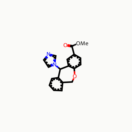 COC(=O)c1ccc2c(c1)C(n1ccnc1)c1ccccc1CO2